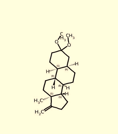 C=C1CC[C@H]2[C@@H]3CC[C@@H]4CC(OC)(OC)CC[C@@H]4[C@H]3CC[C@]12C